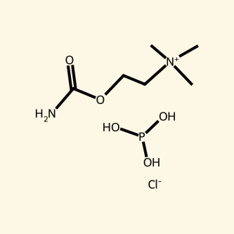 C[N+](C)(C)CCOC(N)=O.OP(O)O.[Cl-]